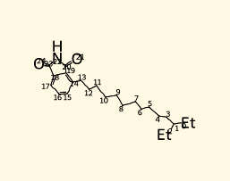 CCC(CC)CCCCCCCCCCCc1cccc2c1C(=O)NC2=O